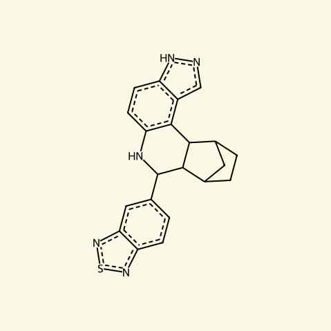 c1cc2nsnc2cc1C1Nc2ccc3[nH]ncc3c2C2C3CCC(C3)C12